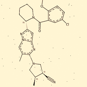 COc1ccc(Cl)cc1C(=O)N1CCCC[C@H]1c1cc2nc(N3C[C@@H](C#N)[C@@H](C)C3)c(C)cn2n1